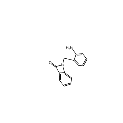 Nc1ccccc1CN1C(=O)c2ccccc21